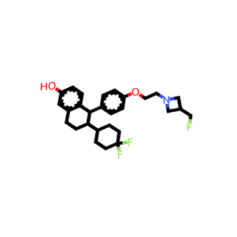 Oc1ccc2c(c1)CCC(C1CCC(F)(F)CC1)C2c1ccc(OCCN2CC(CF)C2)cc1